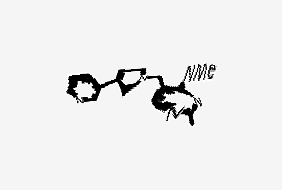 CNc1nc(C)ncc1CN1CC=C(c2cccnc2)CC1